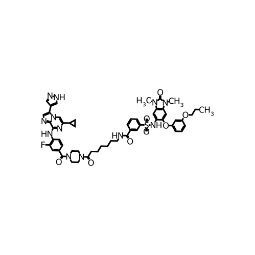 CCCOc1cccc(Oc2cc3c(cc2NS(=O)(=O)c2cccc(C(=O)NCCCCCCC(=O)N4CCN(C(=O)c5ccc(Nc6nc(C7CC7)cn7c(-c8cn[nH]c8)cnc67)c(F)c5)CC4)c2)n(C)c(=O)n3C)c1